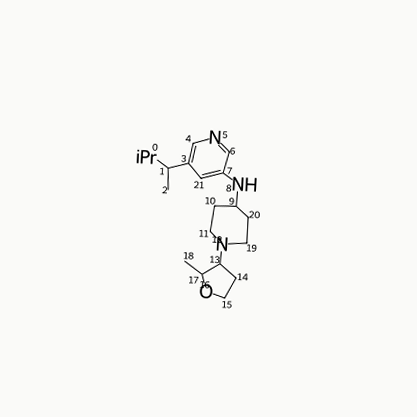 CC(C)C(C)c1cncc(NC2CCN(C3CCOC3C)CC2)c1